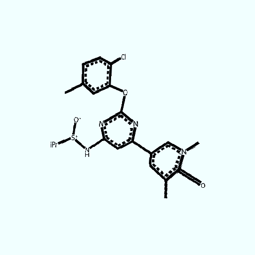 Cc1ccc(Cl)c(Oc2nc(N[S+]([O-])C(C)C)cc(-c3cc(C)c(=O)n(C)c3)n2)c1